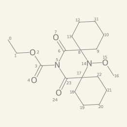 CCOC(=O)N1C(=O)C2(CCCCC2)N(OC)C2(CCCCC2)C1=O